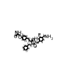 NCc1ccc(CNC(=O)N(CCc2ccccc2)C(=O)[CH]Cc2ccc(OCC(N)=O)cc2)cc1F